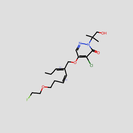 CC/C=C(\C=C/CCOCCF)COc1cnn(C(C)(C)CO)c(=O)c1Cl